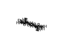 CCNC(=N)CNC(=O)c1cc(NC(=O)c2ccc(C(=O)Nc3cc(C(=O)NCC(=N)NCC)n(CC4CC4)c3)cc2)cn1CC1CC1